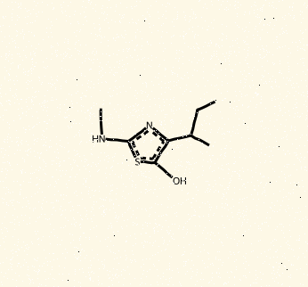 CCC(C)c1nc(NC)sc1O